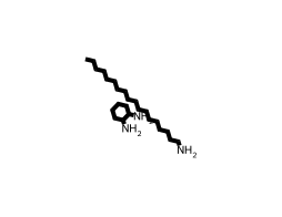 CCCCCCCCCCCCCCCCCCN.NC1CCCCC1N